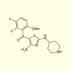 COc1ccc(F)c(F)c1C(=O)c1sc(NC2CCNCC2)nc1N